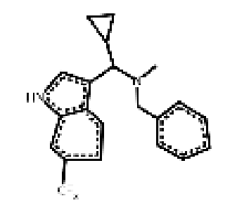 CN(Cc1ccccc1)C(c1c[nH]c2cc(C(F)(F)F)ccc12)C1CC1